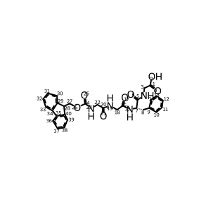 O=C(O)CNC(=O)[C@H](Cc1ccccc1)NC(=O)CNC(=O)CNC(=O)OCC1c2ccccc2-c2ccccc21